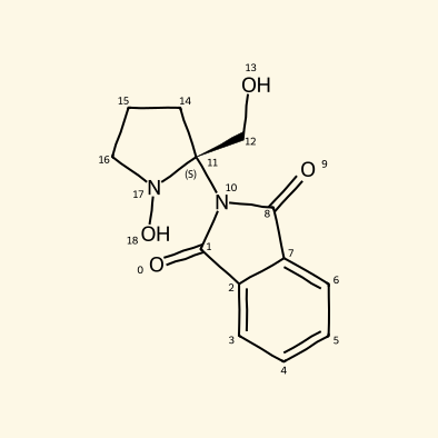 O=C1c2ccccc2C(=O)N1[C@@]1(CO)CCCN1O